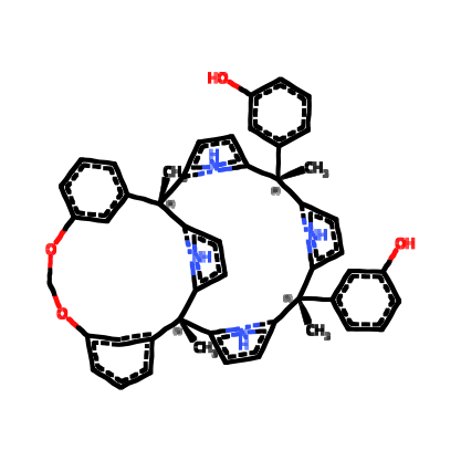 C[C@]1(c2cccc(O)c2)c2ccc([nH]2)[C@@](C)(c2cccc(O)c2)c2ccc([nH]2)[C@@]2(C)c3cccc(c3)OCOc3cccc(c3)[C@@](C)(c3ccc1[nH]3)c1ccc2[nH]1